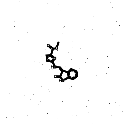 COC(=O)c1ccc(NC=C2C(=O)Nc3ccccc32)o1